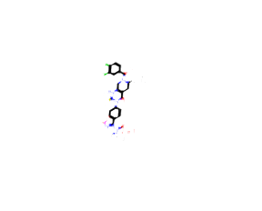 CC1Cc2c([nH]c(=S)n(-c3ccc4c(N(C)C(=O)O)noc4c3)c2=O)CN1C(=O)c1ccc(Cl)c(Cl)c1